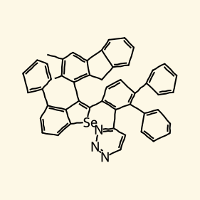 Cc1cc2c(c(-c3c(-c4ccc(-c5ccccc5)c(-c5ccccc5)c4-c4ccnnn4)[se]c4cccc(-c5ccccc5)c34)c1C)Cc1ccccc1-2